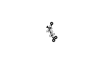 O=C(CNC(=O)OCC1c2ccccc2-c2ccccc21)NCO[C@@H](C(=O)OCc1ccccc1)C1CC1